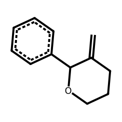 C=C1CCCOC1c1ccccc1